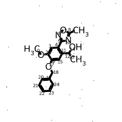 COc1cc(-c2noc(C)n2)c(C(C)O)cc1OCc1ccccc1